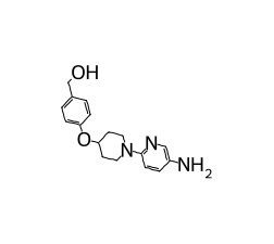 Nc1ccc(N2CCC(Oc3ccc(CO)cc3)CC2)nc1